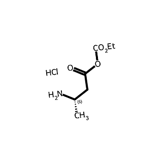 CCOC(=O)OC(=O)C[C@H](C)N.Cl